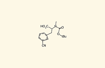 CN(C(=O)OC(C)(C)C)C(Cc1cccc(C#N)c1)C(=O)O